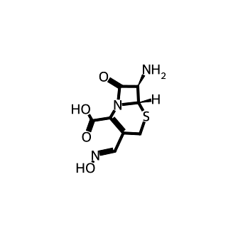 N[C@@H]1C(=O)N2C(C(=O)O)=C(C=NO)CS[C@@H]12